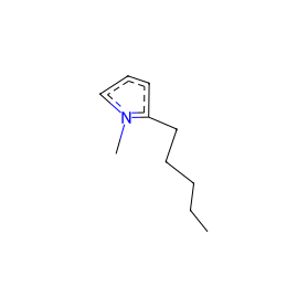 CCCCCc1cccn1C